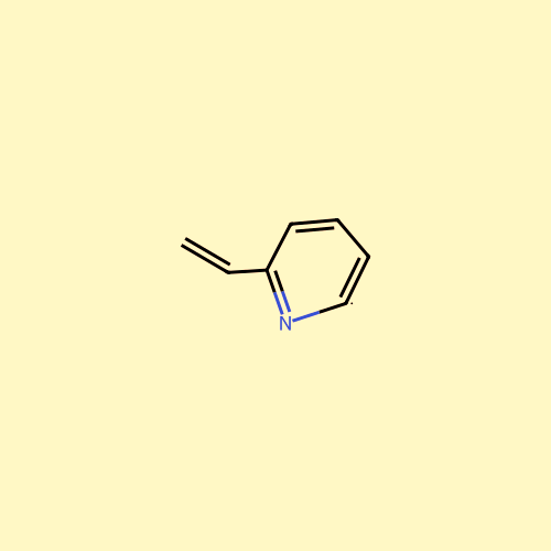 C=Cc1ccc[c]n1